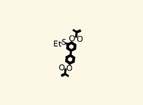 C=C(C)C(=O)Oc1ccc(-c2ccc(OC(=O)C(=C)C)c(SCC)c2)cc1